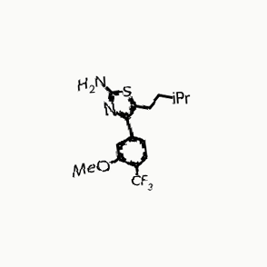 COc1cc(-c2nc(N)sc2CCC(C)C)ccc1C(F)(F)F